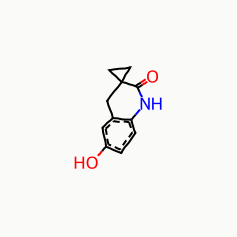 O=C1Nc2ccc(O)cc2CC12CC2